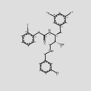 CCc1cccc(CNC[C@@H](O)[C@H](Cc2cc(F)cc(F)c2)NC(=O)Cc2ccccc2I)c1